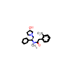 CN(C(=O)Cc1ccccc1[N+](=O)[O-])[C@H](CN1CC[C@H](O)C1)c1ccccc1